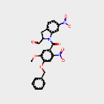 COc1cc(C(=O)N2c3cc([N+](=O)[O-])ccc3CC2C=O)c([N+](=O)[O-])cc1OCc1ccccc1